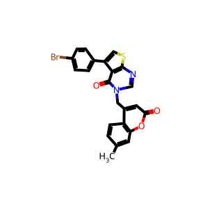 Cc1ccc2c(Cn3cnc4scc(-c5ccc(Br)cc5)c4c3=O)cc(=O)oc2c1